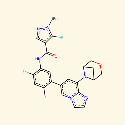 Cc1cc(F)c(NC(=O)c2cnn(C(C)(C)C)c2F)cc1-c1cc(N2C3COCC2C3)c2nccn2c1